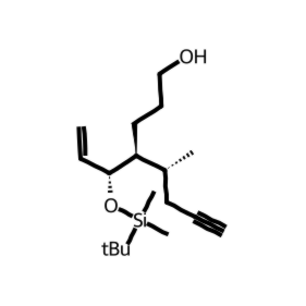 C#CC[C@@H](C)[C@H](CCCO)[C@@H](C=C)O[Si](C)(C)C(C)(C)C